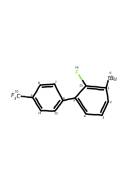 CC(C)(C)c1cccc(-c2ccc(C(F)(F)F)cc2)c1F